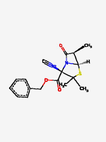 [C-]#[N+][C@@]1(C(=O)OCc2ccccc2)N2C(=O)[C@@H](C)[C@H]2SC1(C)C